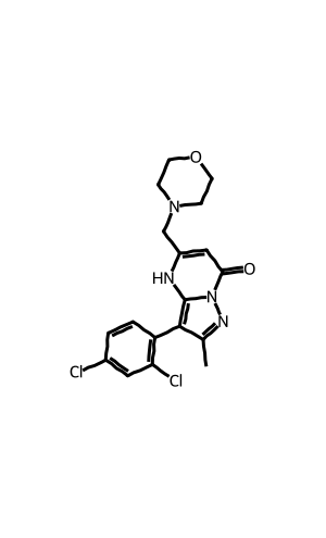 Cc1nn2c(=O)cc(CN3CCOCC3)[nH]c2c1-c1ccc(Cl)cc1Cl